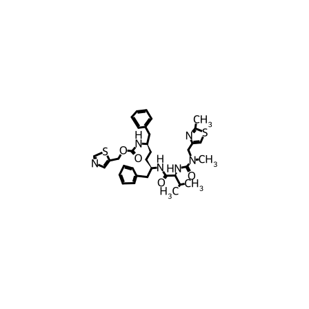 Cc1nc(CN(C)C(=O)N[C@H](C(=O)N[C@H](CC[C@H](Cc2ccccc2)NC(=O)OCc2cncs2)Cc2ccccc2)C(C)C)cs1